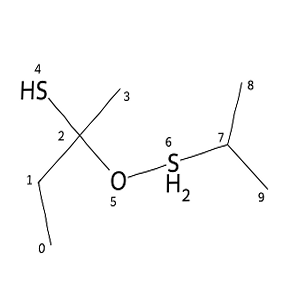 CCC(C)(S)O[SH2]C(C)C